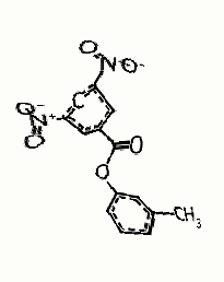 Cc1cccc(OC(=O)c2cc([N+](=O)[O-])cc([N+](=O)[O-])c2)c1